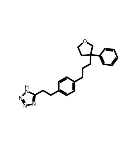 c1ccc(C2(CCCc3ccc(CCc4nnn[nH]4)cc3)CCOC2)cc1